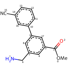 COC(=O)c1cc(CN)cc(-c2cccc(C#N)c2)c1